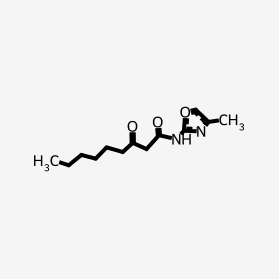 CCCCCCC(=O)CC(=O)Nc1nc(C)co1